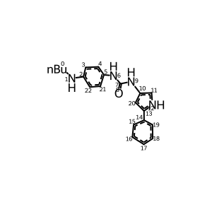 CCCCNc1ccc(NC(=O)Nc2c[nH]c(-c3ccccc3)c2)cc1